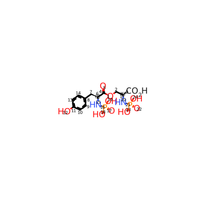 O=C(O)[C@H](COC(=O)[C@H](Cc1ccc(O)cc1)NP(=O)(O)O)NP(=O)(O)O